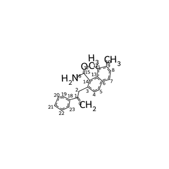 C=C(Cc1ccc2ccc(C)c(C)c2c1C(N)=O)c1ccccc1